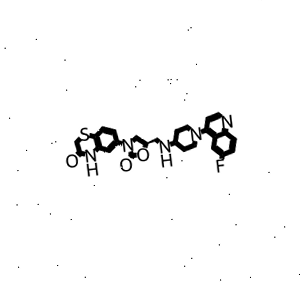 O=C1CSc2ccc(N3C[C@@H](CNC4CCN(c5ccnc6ccc(F)cc56)CC4)OC3=O)cc2N1